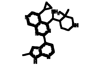 Cc1cc2c(-c3nc(C(N)C4CCNCC4(C)C)c4c(C5CC5)cncc4n3)ccnc2[nH]1